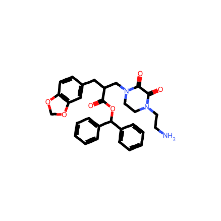 NCCN1CCN(CC(Cc2ccc3c(c2)OCO3)C(=O)OC(c2ccccc2)c2ccccc2)C(=O)C1=O